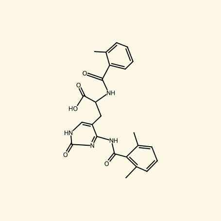 Cc1ccccc1C(=O)NC(Cc1c[nH]c(=O)nc1NC(=O)c1c(C)cccc1C)C(=O)O